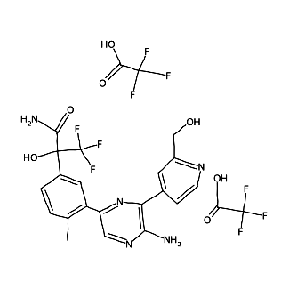 Cc1ccc(C(O)(C(N)=O)C(F)(F)F)cc1-c1cnc(N)c(-c2ccnc(CO)c2)n1.O=C(O)C(F)(F)F.O=C(O)C(F)(F)F